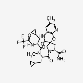 Cc1cnc2c(c1)NC(=O)C1(C[C@@H](C(N)=O)N(C(=O)[C@H](CC3CC3)N(C)C(=O)[C@H](CC3CC3)NC(=O)C(F)(F)F)C1)O2